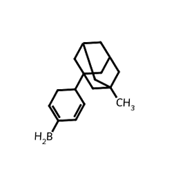 BC1=CCC(C23CC4CC(CC(C)(C4)C2)C3)C=C1